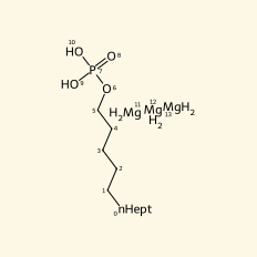 CCCCCCCCCCCCOP(=O)(O)O.[MgH2].[MgH2].[MgH2]